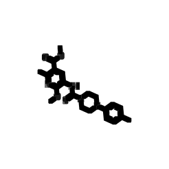 COC(=O)c1cc(NC(=S)N2CCN(c3ccc(C)cc3)CC2)c(OC)nc1C